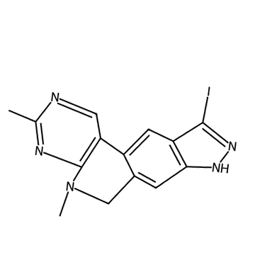 Cc1ncc2c(n1)N(C)Cc1cc3[nH]nc(I)c3cc1-2